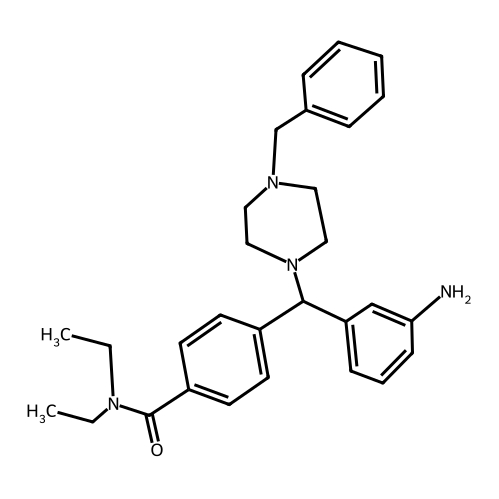 CCN(CC)C(=O)c1ccc(C(c2cccc(N)c2)N2CCN(Cc3ccccc3)CC2)cc1